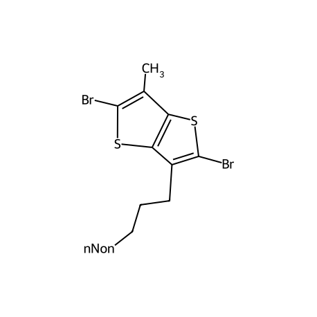 CCCCCCCCCCCCc1c(Br)sc2c(C)c(Br)sc12